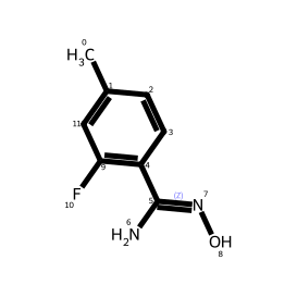 Cc1ccc(/C(N)=N/O)c(F)c1